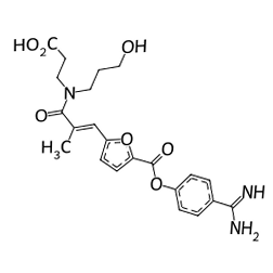 C/C(=C\c1ccc(C(=O)Oc2ccc(C(=N)N)cc2)o1)C(=O)N(CCCO)CCC(=O)O